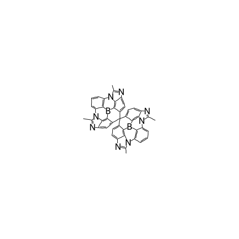 Cc1nc2ccc3c4c2n1-c1cccc2c1B4c1c(ccc4nc(C)n-2c14)C31c2ccc3nc(C)n4c3c2B2c3c-4cccc3-n3c(C)nc4ccc1c2c43